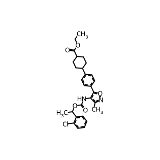 CCOC(=O)C1CCC(c2ccc(-c3onc(C)c3NC(=O)OC(C)c3ccccc3Cl)cc2)CC1